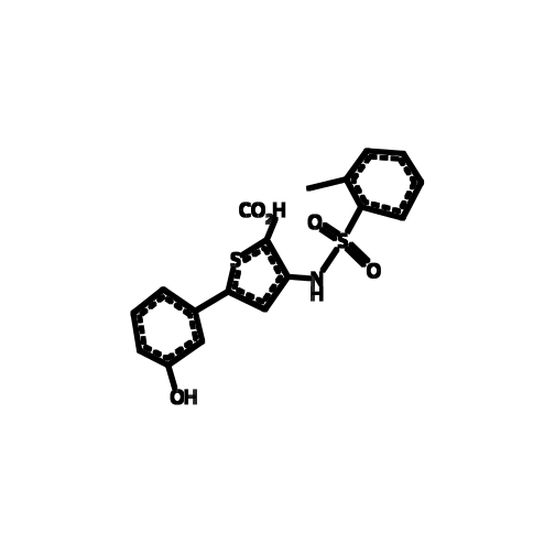 Cc1ccccc1S(=O)(=O)Nc1cc(-c2cccc(O)c2)sc1C(=O)O